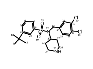 CC(C)(C)c1cccc(S(=O)(=O)N(Cc2ccc(Cl)c(Cl)c2)C2CCNCC2)c1